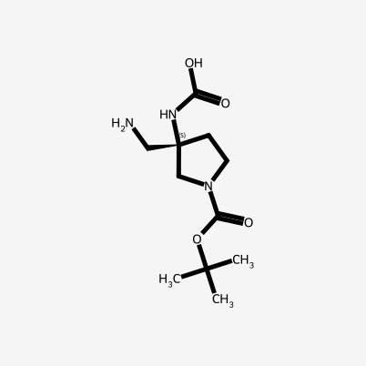 CC(C)(C)OC(=O)N1CC[C@@](CN)(NC(=O)O)C1